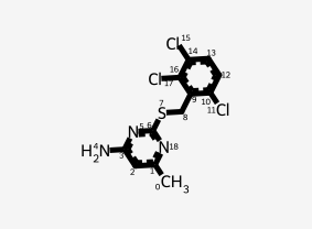 Cc1cc(N)nc(SCc2c(Cl)ccc(Cl)c2Cl)n1